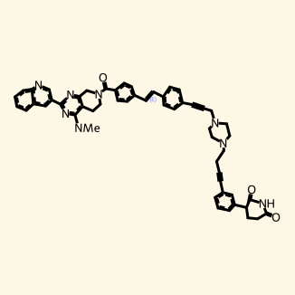 CNc1nc(-c2cnc3ccccc3c2)nc2c1CCN(C(=O)c1ccc(/C=C/c3ccc(C#CCN4CCN(CCC#Cc5cccc(C6CCC(=O)NC6=O)c5)CC4)cc3)cc1)C2